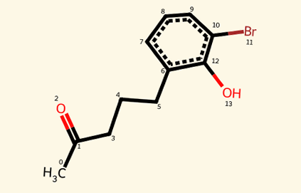 CC(=O)CCCc1cccc(Br)c1O